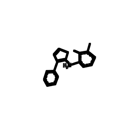 Cc1cccc([SiH2]C2=C(c3ccccc3)C=CC2)c1C